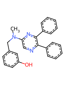 CN(Cc1cccc(O)c1)c1cnc(-c2ccccc2)c(-c2ccccc2)n1